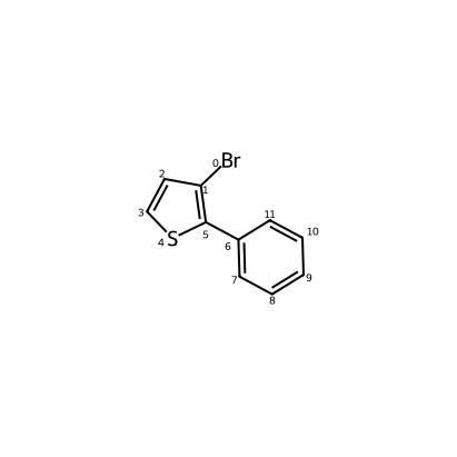 Brc1ccsc1-c1ccccc1